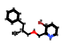 C[C@@H](COCc1ncccc1Br)Cc1ccccc1